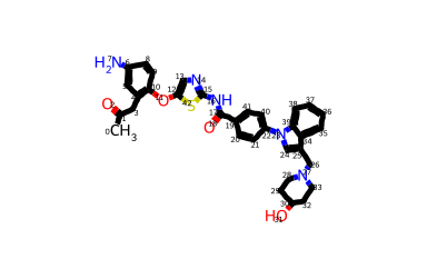 CC(=O)Cc1cc(N)ccc1Oc1cnc(NC(=O)c2ccc(-n3cc(CN4CCC(O)CC4)c4ccccc43)cc2)s1